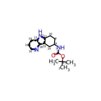 CC(C)(C)OC(=O)NC1CCc2[nH]c3cccnc3c2C1